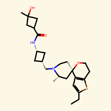 CCc1cc2c(s1)CCO[C@@]21CCN(C[C@H]2C[C@@H](NC(=O)C3CC(C)(O)C3)C2)[C@@H](C)C1